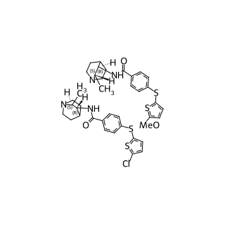 COc1ccc(Sc2ccc(C(=O)N[C@@H]3C4CCN(CC4)[C@H]3C)cc2)s1.C[C@H]1[C@H](NC(=O)c2ccc(Sc3ccc(Cl)s3)cc2)C2CCN1CC2